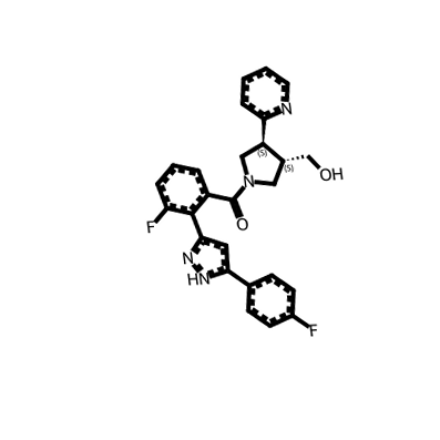 O=C(c1cccc(F)c1-c1cc(-c2ccc(F)cc2)[nH]n1)N1C[C@@H](CO)[C@H](c2ccccn2)C1